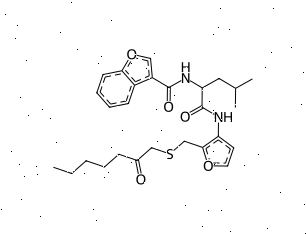 CCCCCC(=O)CSCc1occc1NC(=O)C(CC(C)C)NC(=O)c1coc2ccccc12